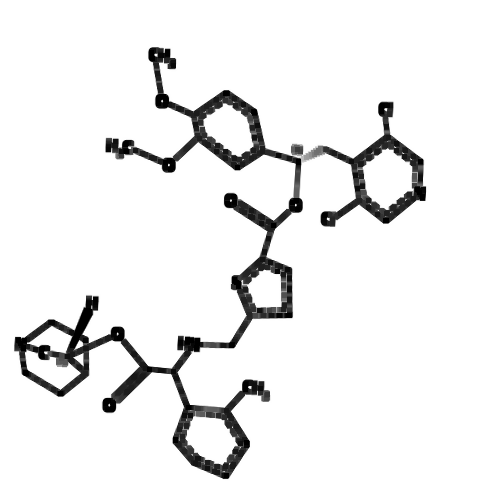 COc1ccc([C@H](Cc2c(Cl)cncc2Cl)OC(=O)c2ccc(CNC(C(=O)O[C@H]3CN4CCC3CC4)c3ccccc3C)s2)cc1OC